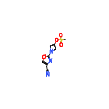 CS(=O)(=O)OC1CN(c2nc(C#N)co2)C1